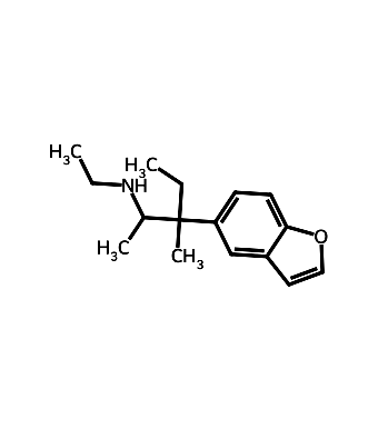 CCNC(C)C(C)(CC)c1ccc2occc2c1